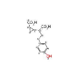 O=C(O)C(CCc1ccc(O)cc1)C1CC1C(=O)O